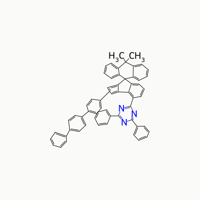 CC1(C)c2ccccc2C2(c3ccc(-c4ccc(-c5ccc(-c6ccccc6)cc5)cc4)cc3-c3c(-c4nc(-c5ccccc5)nc(-c5ccccc5)n4)cccc32)c2ccccc21